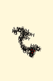 Cc1ncsc1-c1ccc([C@H](C)NC(=O)[C@@H]2C[C@@H](O)CN2C(=O)[C@H](c2cc(OCCC3CCN(C(=O)C4CC(Oc5cc(N6C7CC[C@@H]6CN(c6cc(-c8ccccc8O)nnc6N)C7)ccn5)C4)CC3)no2)C(C)C)cn1